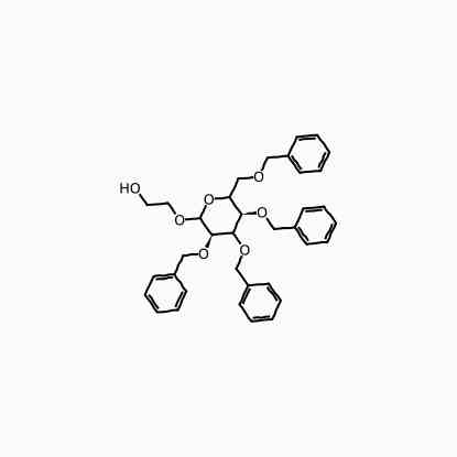 OCCOC1OC(COCc2ccccc2)[C@@H](OCc2ccccc2)C(OCc2ccccc2)[C@H]1OCc1ccccc1